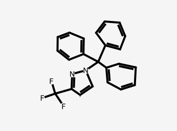 FC(F)(F)c1[c]cn(C(c2ccccc2)(c2ccccc2)c2ccccc2)n1